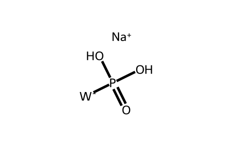 O=[P](O)(O)[W-].[Na+]